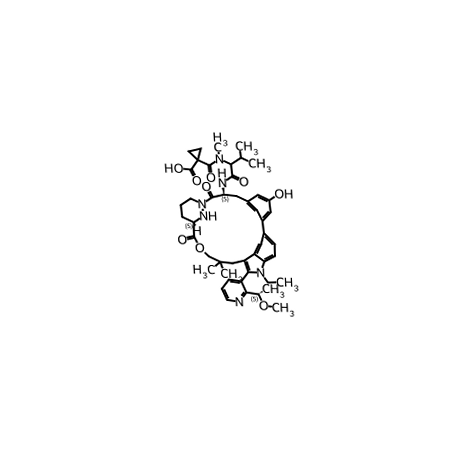 CCn1c(-c2cccnc2[C@H](C)OC)c2c3cc(ccc31)-c1cc(O)cc(c1)C[C@H](NC(=O)C(C(C)C)N(C)C(=O)C1(C(=O)O)CC1)C(=O)N1CCC[C@H](N1)C(=O)OCC(C)(C)C2